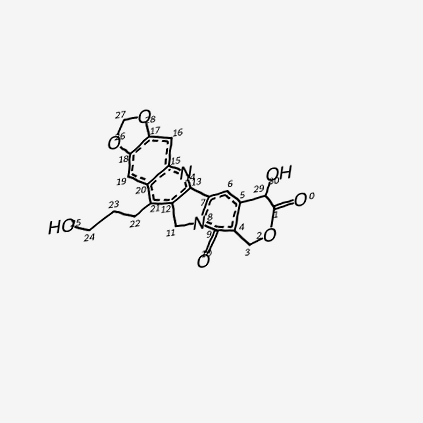 O=C1OCc2c(cc3n(c2=O)Cc2c-3nc3cc4c(cc3c2CCCO)OCO4)C1O